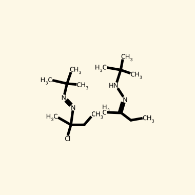 CCC(C)(Cl)N=NC(C)(C)C.CCC(C)=NNC(C)(C)C